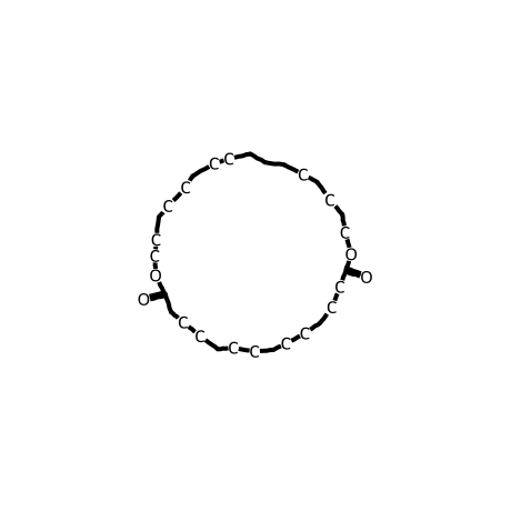 O=C1CCCCCCCCCCCCC(=O)OCCCCCCCCCCCCCCCCO1